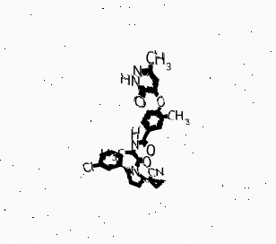 Cc1cc(Oc2ccc(C(=O)NC(C)C(=O)N3[C@H](c4cccc(Cl)c4)CC[C@@H]3C3(C#N)CC3)cc2C)c(=O)[nH]n1